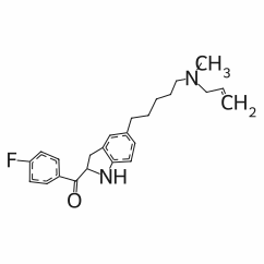 C=CCN(C)CCCCCc1ccc2c(c1)CC(C(=O)c1ccc(F)cc1)N2